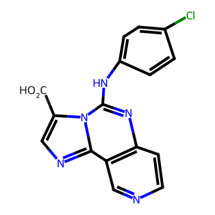 O=C(O)c1cnc2c3cnccc3nc(Nc3ccc(Cl)cc3)n12